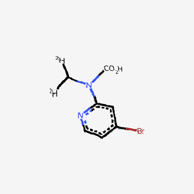 [2H]C([2H])N(C(=O)O)c1cc(Br)ccn1